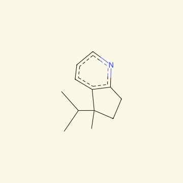 CC(C)C1(C)CCc2ncccc21